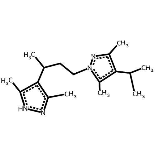 Cc1nn(CCC(C)c2c(C)n[nH]c2C)c(C)c1C(C)C